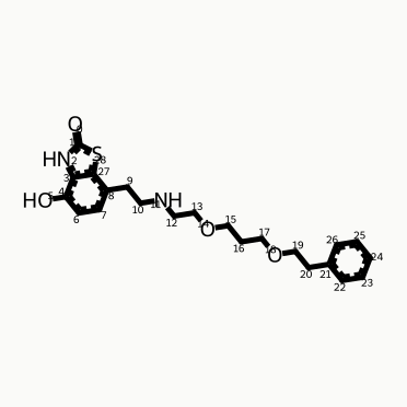 O=c1[nH]c2c(O)ccc(CCNCCOCCCOCCc3ccccc3)c2s1